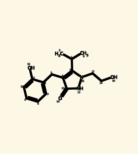 CC(C)c1c(Cc2ccccc2O)c(=O)[nH]n1CCO